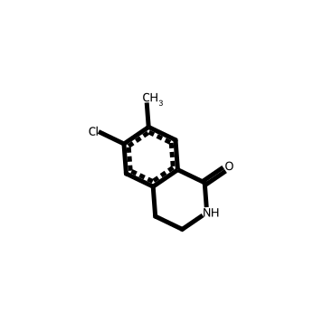 Cc1cc2c(cc1Cl)CCNC2=O